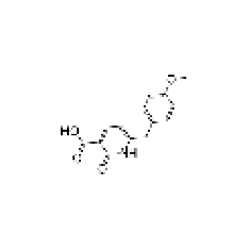 COc1ccc(Cc2ccc(C(=O)O)c(=O)[nH]2)cc1